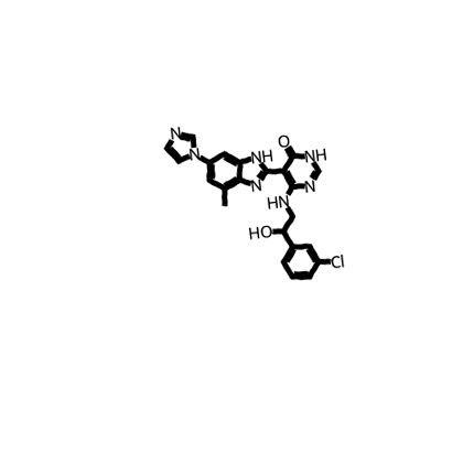 Cc1cc(-n2ccnc2)cc2[nH]c(-c3c(NCC(O)c4cccc(Cl)c4)nc[nH]c3=O)nc12